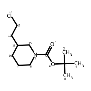 CC(C)(C)OC(=O)N1CCCC([CH]CCl)C1